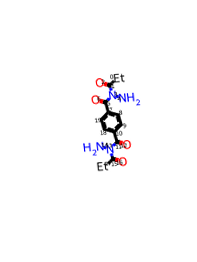 CCC(=O)N(N)C(=O)c1ccc(C(=O)N(N)C(=O)CC)cc1